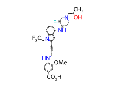 COc1cc(C(=O)O)ccc1NCC#Cc1cc2c(N[C@H]3CCN(CC(C)O)C[C@H]3F)cccc2n1CC(F)(F)F